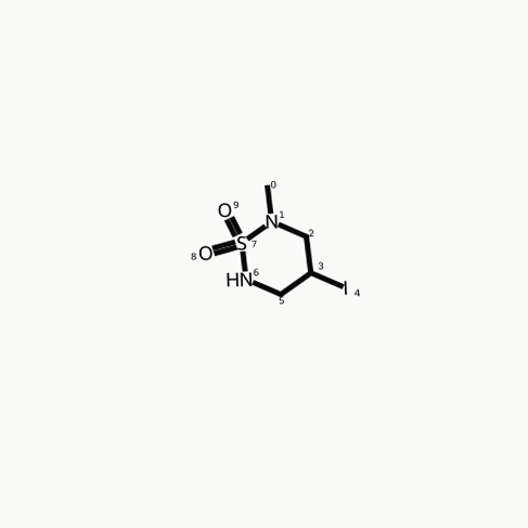 CN1CC(I)CNS1(=O)=O